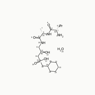 CC(C)[C@H](N)C(=O)N[C@@H](C)C(=O)NC[C@@H](O)CP(=O)(O)CC1CCCCC1.O